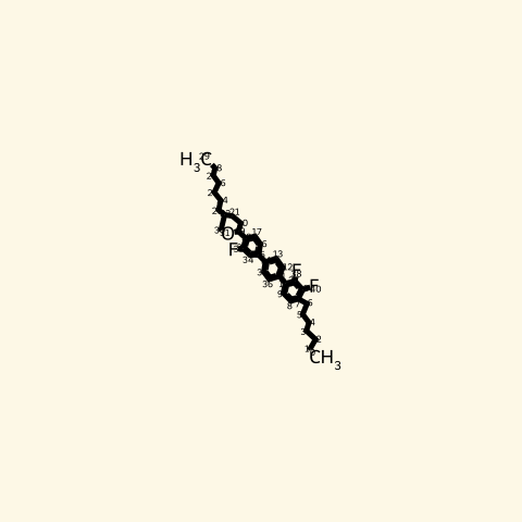 CCCCCCCc1ccc(-c2ccc(-c3ccc(C4CCC(CCCCCCC)CO4)c(F)c3)cc2)c(F)c1F